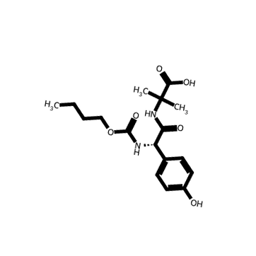 CCCCOC(=O)N[C@H](C(=O)NC(C)(C)C(=O)O)c1ccc(O)cc1